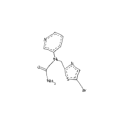 NC(=O)N(c1cccnc1)c1ncc(Br)s1